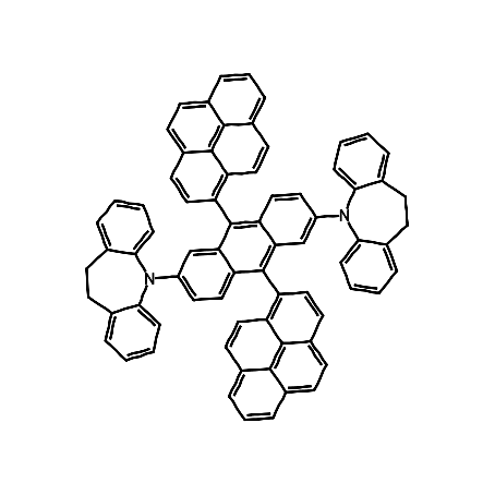 c1ccc2c(c1)CCc1ccccc1N2c1ccc2c(-c3ccc4ccc5cccc6ccc3c4c56)c3cc(N4c5ccccc5CCc5ccccc54)ccc3c(-c3ccc4ccc5cccc6ccc3c4c56)c2c1